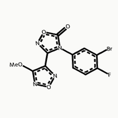 COc1nonc1-c1noc(=O)n1-c1ccc(F)c(Br)c1